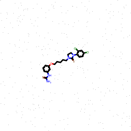 NC(=S)Nc1cccc(OCCCCCN2CCN(c3ccc(Cl)cc3Cl)C2=S)c1